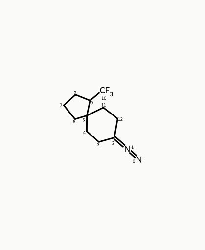 [N-]=[N+]=C1CCC2(CCCC2C(F)(F)F)CC1